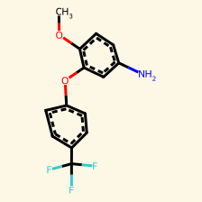 COc1ccc(N)cc1Oc1ccc(C(F)(F)F)cc1